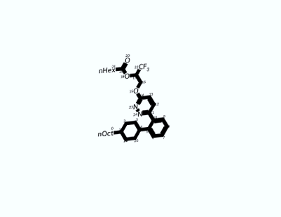 CCCCCCCCC1CCC(c2ccccc2-c2ccc(OCC(OC(=O)CCCCCC)C(F)(F)F)nn2)CC1